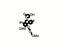 COCCOCCOc1c(OC)cc(C(C)C)c(C=C[C@H]2C[C@H](O)CC(=O)O2)c1-c1ccc(F)cc1